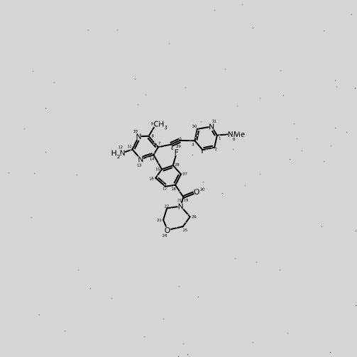 CNc1ccc(C#Cc2c(C)nc(N)nc2-c2ccc(C(=O)N3CCOCC3)cc2F)cn1